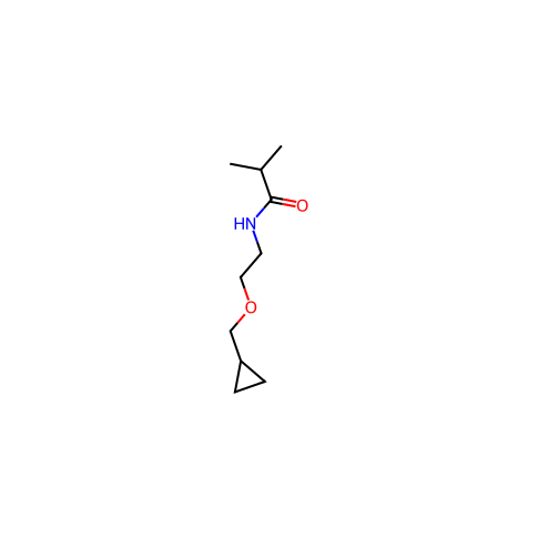 CC(C)C(=O)NCCOCC1CC1